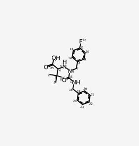 CC(C)(C)C(NN(Cc1ccc(F)cc1)C(=O)NCc1ccccc1)C(=O)O